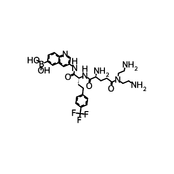 NCCN(CCN)C(=O)CC[C@H](N)C(=O)N[C@H](CCc1ccc(C(F)(F)F)cc1)C(=O)Nc1cnc2ccc(B(O)O)cc2c1